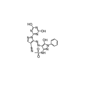 CS(=O)(=O)Nc1nn(-c2ccccc2)c(O)c1N=Nc1c(C#N)cnn1-c1nc(O)nc(O)n1